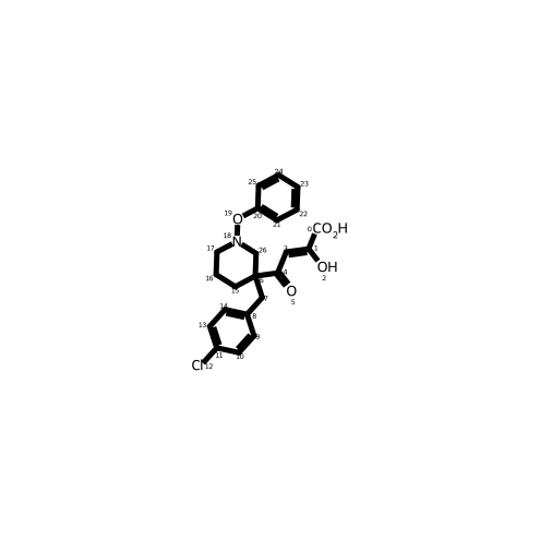 O=C(O)/C(O)=C/C(=O)C1(Cc2ccc(Cl)cc2)CCCN(Oc2ccccc2)C1